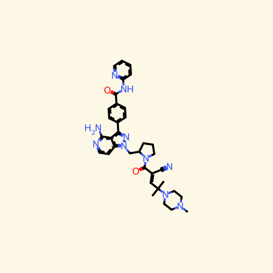 CN1CCN(C(C)(C)C=C(C#N)C(=O)N2CCCC2Cn2nc(-c3ccc(C(=O)Nc4ccccn4)cc3)c3c(N)nccc32)CC1